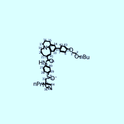 CCCCOCCOc1ccc(-c2cc3c4c(c2)CCCN4CCC/C(C(=O)Nc2ccc([S+]([O-])Cc4cncn4CCC)cc2)=C\3)cc1